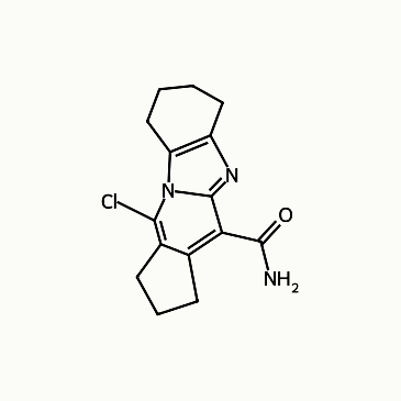 NC(=O)c1c2c(c(Cl)n3c4c(nc13)CCCC4)CCC2